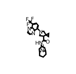 O=C(NC1CC2CCCC(C1)N2)C1CN(c2ccc(C(F)(F)F)c3nccnc23)CC12CC2